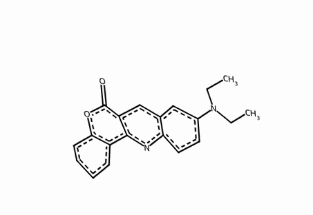 CCN(CC)c1ccc2nc3c(cc2c1)c(=O)oc1ccccc13